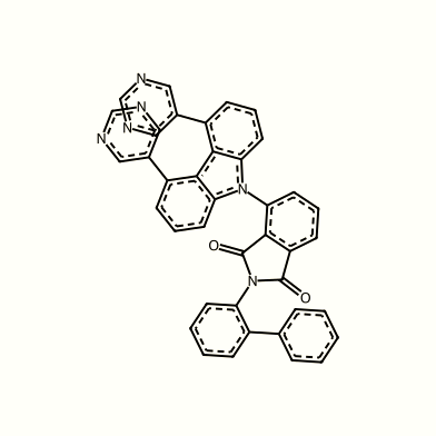 O=C1c2cccc(-n3c4cccc(-c5cncnc5)c4c4c(-c5cncnc5)cccc43)c2C(=O)N1c1ccccc1-c1ccccc1